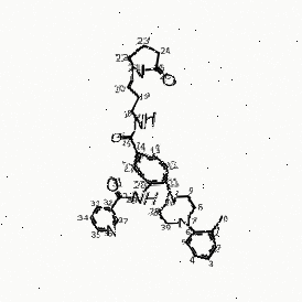 Cc1ccccc1N1CCN(c2ccc(C(=O)NCCCN3CCCC3=O)cc2NC(=O)c2cccnc2)CC1